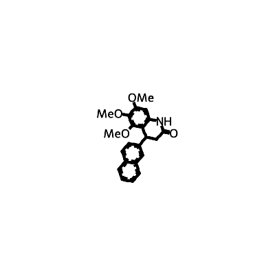 COc1cc2c(c(OC)c1OC)C(c1ccc3ccccc3c1)CC(=O)N2